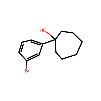 OC1(c2cccc(Br)c2)CCCCCC1